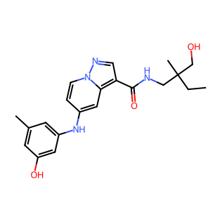 CCC(C)(CO)CNC(=O)c1cnn2ccc(Nc3cc(C)cc(O)c3)cc12